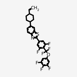 C=CC1CCC(c2ccc3nc(-c4cc(F)c(C(F)(F)Oc5cc(F)c(F)c(F)c5)c(F)c4)sc3c2)CC1